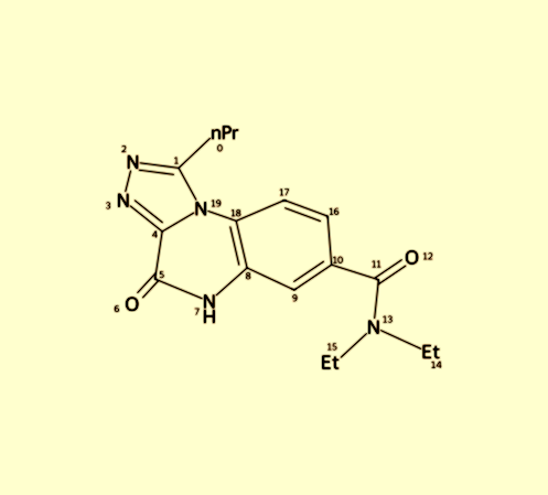 CCCc1nnc2c(=O)[nH]c3cc(C(=O)N(CC)CC)ccc3n12